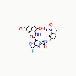 CC(=O)c1ccc2c(c1)C[C@@H](O)[C@@H]2NC(=O)c1cc(C(=O)NCc2ccc3c(c2)NC(=O)CC3)nc2c(F)cnn12